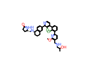 COc1nc(-c2cccc(-c3ccnc(-c4ccc5c(c4)CCC[C@@H]5NC[C@@H]4CCC(=O)N4)c3Cl)c2Cl)ccc1CNCC(C)O